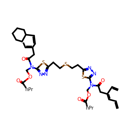 C=C/C=C(\C=C)CC(=O)N(COC(=O)CCC)c1nnc(CCSCCc2nnc(N(COC(=O)CCC)C(=O)CC(/C=C\C3CCCCC3)=C/C)s2)s1